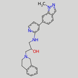 Cn1ncc2ccc(-c3ccnc(NCC(O)CN4CCc5ccccc5C4)c3)cc21